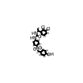 CC(NC(=O)Nc1ccc(S(=O)(=O)Cc2ccc(O)cc2)cc1)c1cccc(Cl)c1Cl